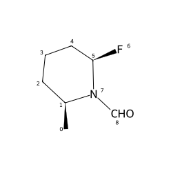 C[C@H]1CCC[C@@H](F)N1C=O